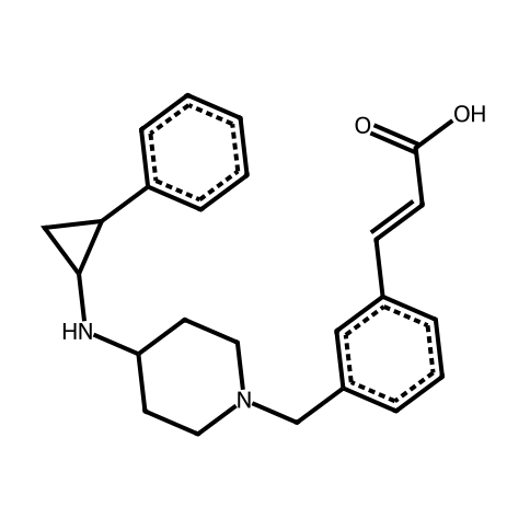 O=C(O)/C=C/c1cccc(CN2CCC(NC3CC3c3ccccc3)CC2)c1